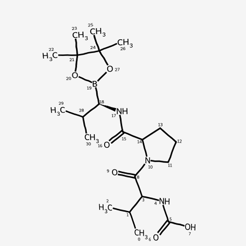 CC(C)C(NC(=O)O)C(=O)N1CCCC1C(=O)N[C@H](B1OC(C)(C)C(C)(C)O1)C(C)C